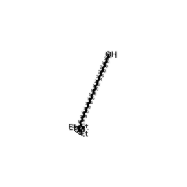 CCO[Si](CCCCCCCCCCCCCCCCCCCCCCCCCCCCCCCCO)(OCC)OCC